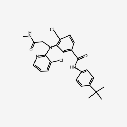 CNC(=O)CN(c1cc(C(=O)Nc2ccc(C(C)(C)C)cc2)ccc1Cl)c1ncccc1Cl